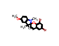 COc1ccc2c(c1)C(C)(C)C1(C=Cc3cc(Br)cc(Br)c3O1)N2C